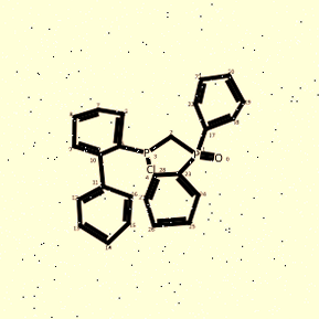 O=P(CP(Cl)c1ccccc1-c1ccccc1)(c1ccccc1)c1ccccc1